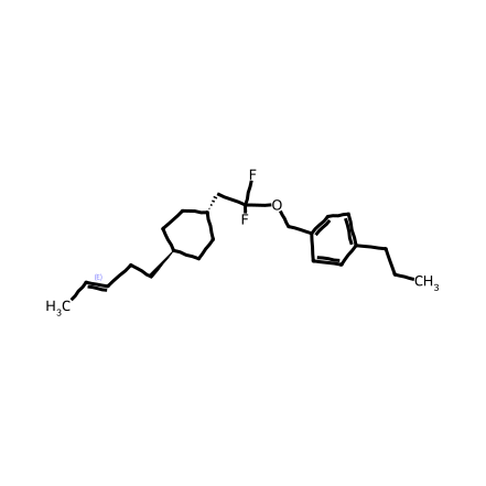 C/C=C/CC[C@H]1CC[C@H](CC(F)(F)OCc2ccc(CCC)cc2)CC1